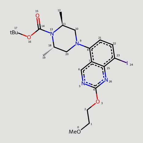 COCCOc1ncc2c(N3C[C@H](C)N(C(=O)OC(C)(C)C)[C@@H](C)C3)ccc(I)c2n1